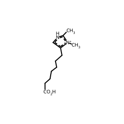 Cc1[nH]cc(CCCCCCC(=O)O)[n+]1C